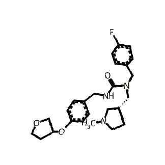 CN1CC[C@@H](CN(Cc2ccc(F)cc2)C(=O)NCc2ccc(OC3CCOC3)cc2)C1